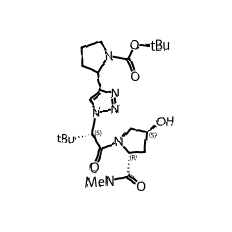 CNC(=O)[C@H]1C[C@H](O)CN1C(=O)[C@@H](n1cc(C2CCCN2C(=O)OC(C)(C)C)nn1)C(C)(C)C